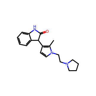 Cc1c(C2C(=O)Nc3ccccc32)ccn1CCN1CCCC1